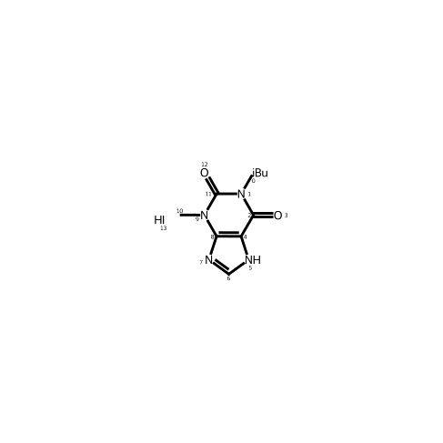 CCC(C)n1c(=O)c2[nH]cnc2n(C)c1=O.I